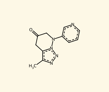 Cc1nnn2c1CC(=O)CN2c1cccnc1